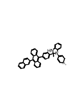 C[C@@H]1C=CC(N2c3ccccc3NC2(C)c2ccc(-c3c4ccccc4c(-c4ccc5ccccc5c4)c4ccccc34)cc2)=CC1